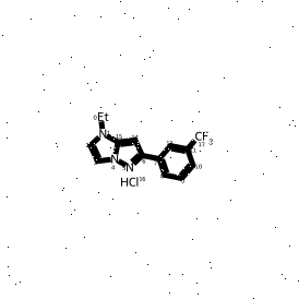 CCn1ccn2nc(-c3cccc(C(F)(F)F)c3)cc12.Cl